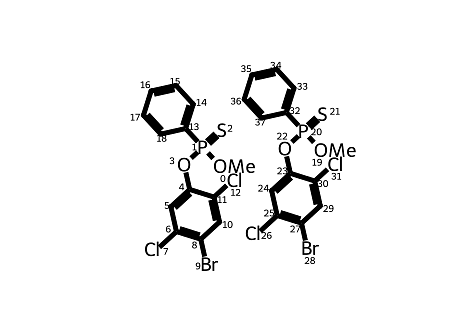 COP(=S)(Oc1cc(Cl)c(Br)cc1Cl)c1ccccc1.COP(=S)(Oc1cc(Cl)c(Br)cc1Cl)c1ccccc1